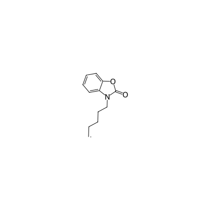 [CH2]CCCCn1c(=O)oc2ccccc21